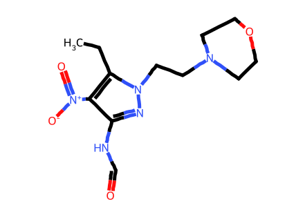 CCc1c([N+](=O)[O-])c(NC=O)nn1CCN1CCOCC1